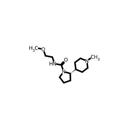 COCCNC(=O)N1CCC[C@H]1C1CCN(C)CC1